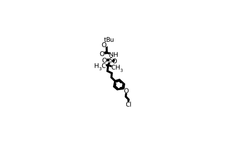 CC(C)(C)OCC(=O)NS(=O)(=O)C(C)(C)CCCc1ccc(OCCCl)cc1